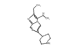 CCc1nc2cnc(C3CCNCC3)cn2c1NC